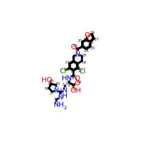 NC/N=C(/NC[C@H](NC(=O)c1c(Cl)cc2c(c1Cl)CCN(C(=O)c1ccc3ccoc3c1)C2)C(=O)O)N1CC[C@@H](O)C1